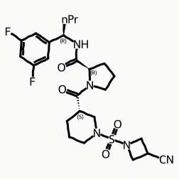 CCC[C@@H](NC(=O)[C@H]1CCCN1C(=O)[C@H]1CCCN(S(=O)(=O)N2CC(C#N)C2)C1)c1cc(F)cc(F)c1